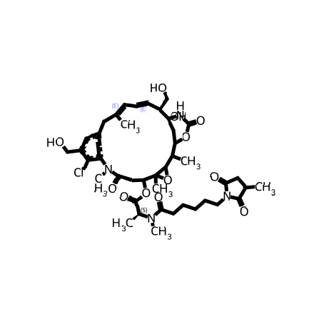 C/C1=C\C=C\C(CO)C2(O)CC(OC(=O)N2)C(C)C2OC2(C)C(OC(=O)[C@H](C)N(C)C(=O)CCCCCN2C(=O)CC(C)C2=O)CC(=O)N(C)c2cc(cc(CO)c2Cl)C1